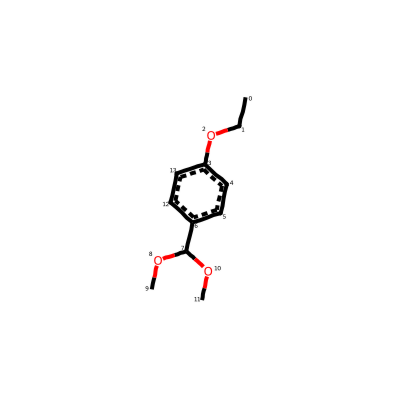 CCOc1ccc(C(OC)OC)cc1